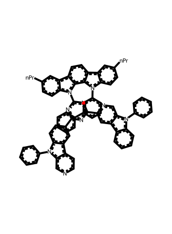 CCCc1ccc2c(c1)c1ccc3c4cc(CCC)ccc4n(-c4nc(-c5ccc6c(c5)c5ccncc5n6-c5ccccc5)nc(-c5cc6c7ccccc7n(-c7ccccc7)c6cn5)n4)c3c1n2-c1cccc(-c2ccccc2)c1